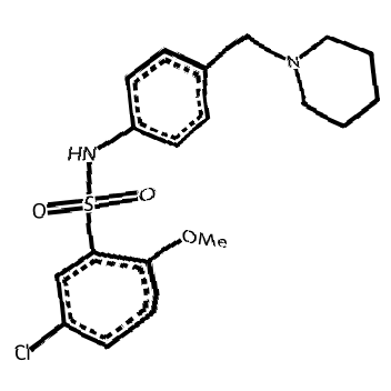 COc1ccc(Cl)cc1S(=O)(=O)Nc1ccc(CN2CCCCC2)cc1